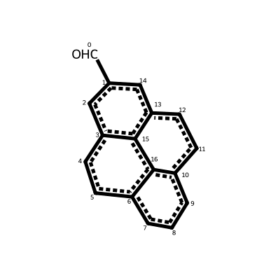 O=Cc1cc2ccc3cccc4ccc(c1)c2c34